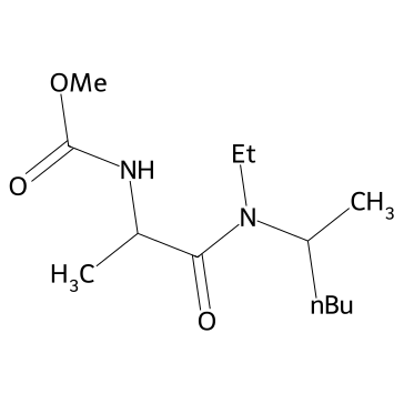 CCCCC(C)N(CC)C(=O)C(C)NC(=O)OC